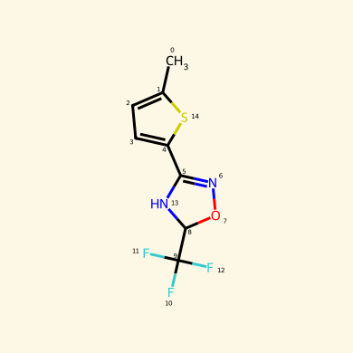 Cc1ccc(C2=NOC(C(F)(F)F)N2)s1